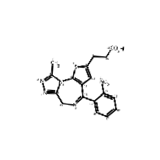 Cc1nnc2n1-c1sc(CCC(=O)O)cc1C(c1ccccc1[N+](=O)[O-])=NC2